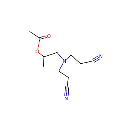 CC(=O)OC(C)CN(CCC#N)CCC#N